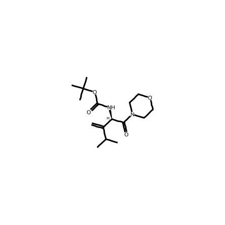 C=C(C(C)C)[C@@H](NC(=O)OC(C)(C)C)C(=O)N1CCOCC1